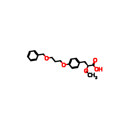 CO[C@@H](Cc1ccc(OCCCOCc2ccccc2)cc1)C(=O)O